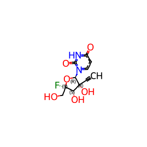 C#C[C@]1(O)[C@H](n2ccc(=O)[nH]c2=O)O[C@](F)(CO)[C@H]1O